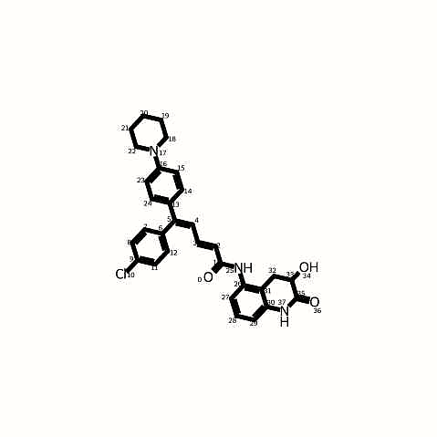 O=C(/C=C/C=C(\c1ccc(Cl)cc1)c1ccc(N2CCCCC2)cc1)Nc1cccc2c1CC(O)C(=O)N2